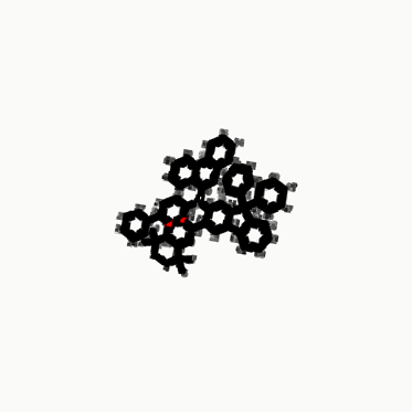 CC1(C)CCC(C)(C)c2cc(-c3cc4c(cc3N(c3ccc(-c5ccccc5)cc3)c3cc5ccccc5c5ccccc35)C(c3ccccc3)(c3ccccc3)c3ccccc3-4)ccc21